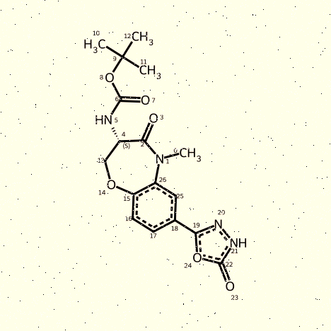 CN1C(=O)[C@@H](NC(=O)OC(C)(C)C)COc2ccc(-c3n[nH]c(=O)o3)cc21